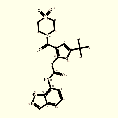 CC(C)(C)c1cc(C(=O)N2CCS(=O)(=O)CC2)c(NC(=O)Nc2cccc3cn[nH]c23)s1